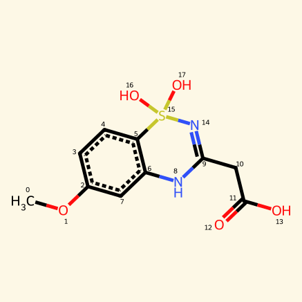 COc1ccc2c(c1)NC(CC(=O)O)=NS2(O)O